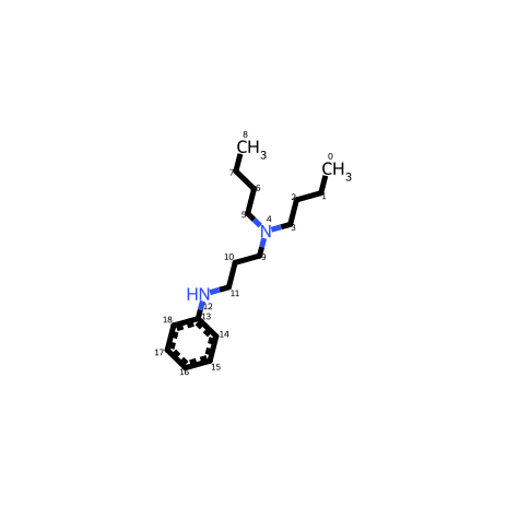 CCCCN(CCCC)CCCNc1cc[c]cc1